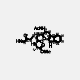 COC(=O)[C@H](C)NC(=O)[C@H](CCC(=O)C=N)NC(=O)[C@H](Cc1c[nH]c2ccccc12)NC(C)=O